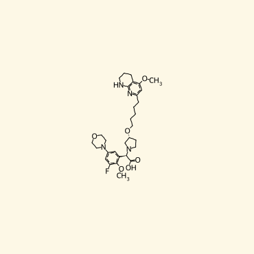 COc1cc(CCCCCO[C@@H]2CCN([C@@H](C(=O)O)c3cc(N4CCOCC4)cc(F)c3OC)C2)nc2c1CCCN2